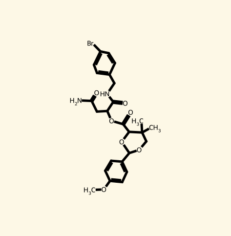 COc1ccc(C2OCC(C)(C)C(C(=O)OC(CC(N)=O)C(=O)NCc3ccc(Br)cc3)O2)cc1